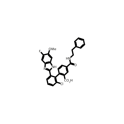 COc1cc2[nH]c(-c3cccc(Cl)c3-c3ccc(C(=O)NCCc4ccccc4)cc3C(=O)O)nc2cc1F